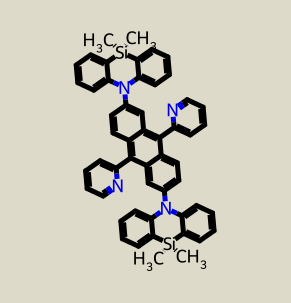 C[Si]1(C)c2ccccc2N(c2ccc3c(-c4ccccn4)c4cc(N5c6ccccc6[Si](C)(C)c6ccccc65)ccc4c(-c4ccccn4)c3c2)c2ccccc21